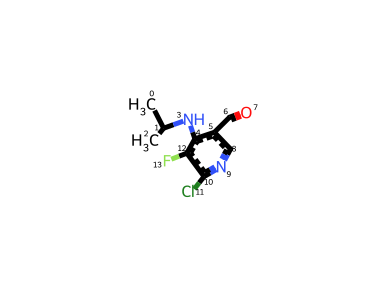 CC(C)Nc1c(C=O)cnc(Cl)c1F